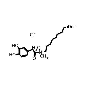 CCCCCCCCCCCCCCCCCC[N+](C)(C)C(=O)Cc1ccc(O)c(O)c1.[Cl-]